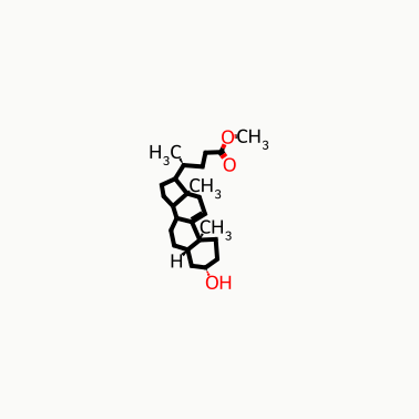 COC(=O)CC[C@@H](C)C1CCC2C3CC[C@H]4C[C@@H](O)CC[C@]4(C)C3=CC[C@@]21C